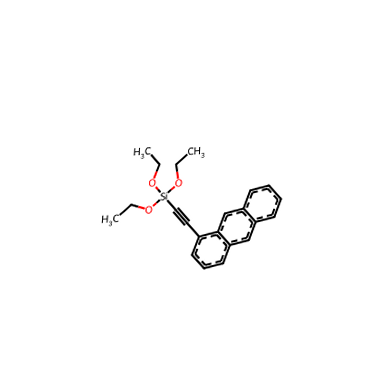 CCO[Si](C#Cc1cccc2cc3ccccc3cc12)(OCC)OCC